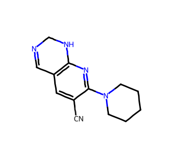 N#Cc1cc2c(nc1N1CCCCC1)NCN=C2